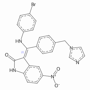 O=C1Nc2ccc([N+](=O)[O-])cc2/C1=C(/Nc1ccc(Br)cc1)c1ccc(Cn2ccnc2)cc1